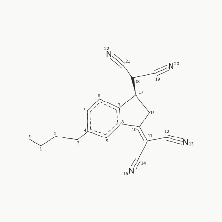 CCCCc1ccc2c(c1)C(=C(C#N)C#N)C[C@@H]2C(C#N)C#N